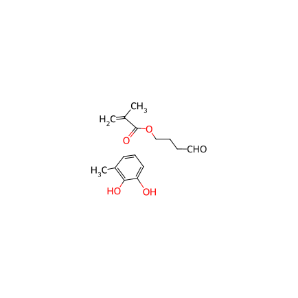 C=C(C)C(=O)OCCCC=O.Cc1cccc(O)c1O